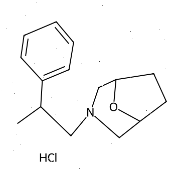 CC(CN1CC2CCC(C1)O2)c1ccccc1.Cl